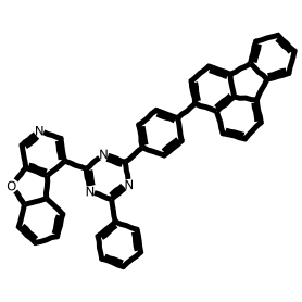 C1=CC2Oc3cncc(-c4nc(-c5ccccc5)nc(-c5ccc(-c6ccc7c8c(cccc68)-c6ccccc6-7)cc5)n4)c3C2C=C1